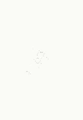 CCCCc1nc2c(N)nnc(OC(C)C)c2n1C[C@H]1CCC[C@@H](N)C1